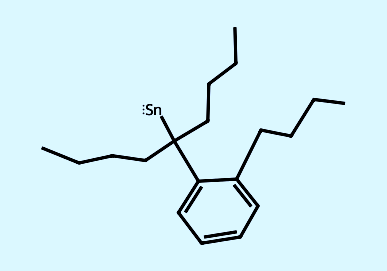 CCCCc1ccccc1[C]([Sn])(CCCC)CCCC